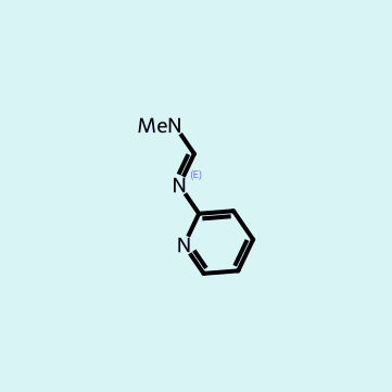 CN/C=N/c1ccccn1